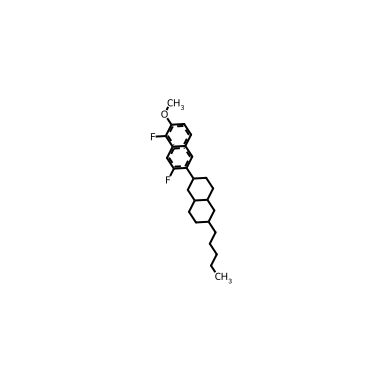 CCCCCC1CCC2CC(c3cc4ccc(OC)c(F)c4cc3F)CCC2C1